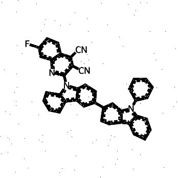 N#Cc1c(-n2c3ccccc3c3cc(-c4ccc5c6ccccc6n(-c6ccccc6)c5c4)ccc32)nc2cc(F)ccc2c1C#N